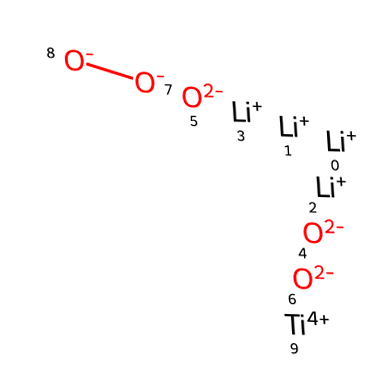 [Li+].[Li+].[Li+].[Li+].[O-2].[O-2].[O-2].[O-][O-].[Ti+4]